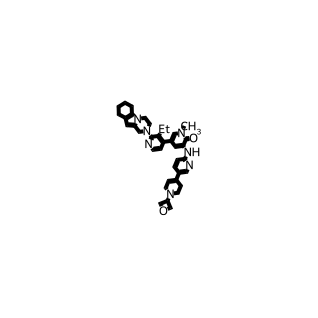 CCc1c(-c2cc(Nc3ccc(C4=CCN(C5COC5)CC4)cn3)c(=O)n(C)c2)ccnc1N1CCn2c(cc3c2CCCC3)C1